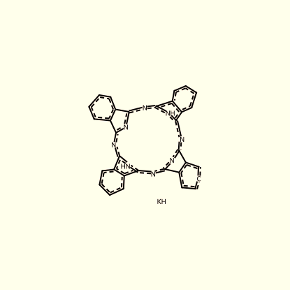 [KH].c1ccc2c(c1)-c1nc-2nc2[nH]c(nc3nc(nc4[nH]c(n1)c1ccccc41)-c1ccccc1-3)c1ccccc21